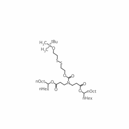 CCCCCCCCC(CCCCCC)OC(=O)CCN(CCC(=O)OC(CCCCCC)CCCCCCCC)C(=O)OCCSSCCO[Si](C)(C)C(C)(C)C